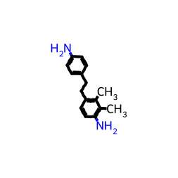 Cc1c(N)ccc(CCc2ccc(N)cc2)c1C